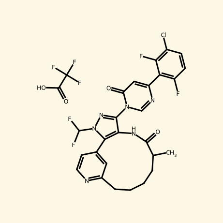 CC1CCCCc2cc(ccn2)-c2c(c(-n3cnc(-c4c(F)ccc(Cl)c4F)cc3=O)nn2C(F)F)NC1=O.O=C(O)C(F)(F)F